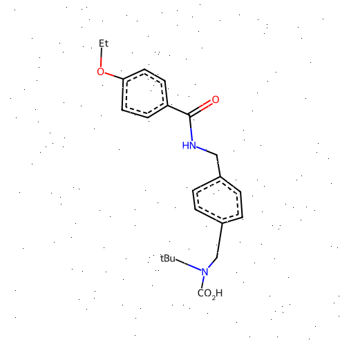 CCOc1ccc(C(=O)NCc2ccc(CN(C(=O)O)C(C)(C)C)cc2)cc1